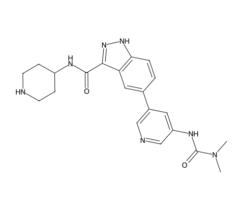 CN(C)C(=O)Nc1cncc(-c2ccc3[nH]nc(C(=O)NC4CCNCC4)c3c2)c1